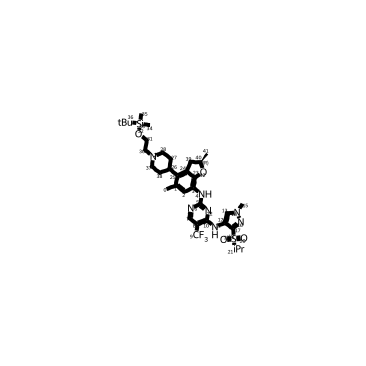 Cc1cc(Nc2ncc(C(F)(F)F)c(Nc3cn(C)nc3S(=O)(=O)C(C)C)n2)c2c(c1C1CCN(CCO[Si](C)(C)C(C)(C)C)CC1)C[C@@H](C)O2